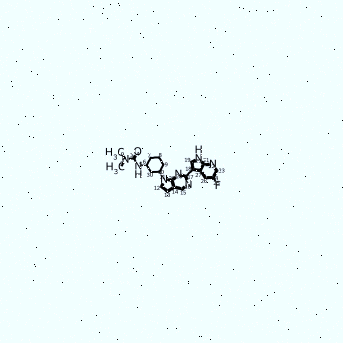 CN(C)C(=O)N[C@H]1CCC[C@H](n2ccc3cnc(-c4c[nH]c5ncc(F)cc45)nc32)C1